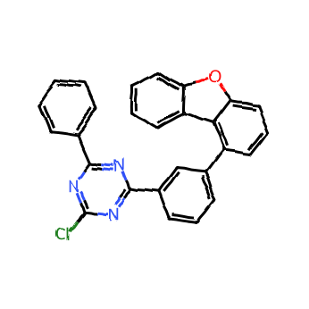 Clc1nc(-c2ccccc2)nc(-c2cccc(-c3cccc4oc5ccccc5c34)c2)n1